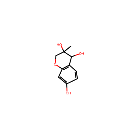 [CH2]C1(O)COc2cc(O)ccc2C1O